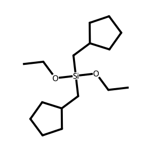 CCO[Si](CC1CCCC1)(CC1CCCC1)OCC